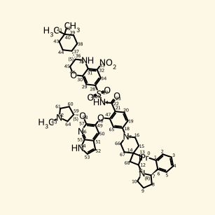 CC(C)c1ccccc1[C@H]1CCCN1C1CC2(CCN(c3ccc(C(=O)NS(=O)(=O)c4cc5c(c([N+](=O)[O-])c4)N[C@@H](C4CCC(C)(C)CC4)CO5)c(Oc4cc5cc[nH]c5nc4O[C@H]4CCN(C)C4)c3)CC2)C1